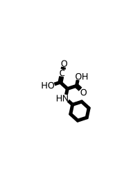 O=C=C(O)C(NC1CCCCC1)C(=O)O